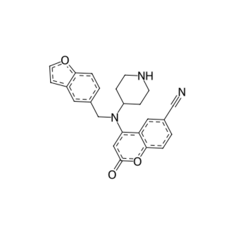 N#Cc1ccc2oc(=O)cc(N(Cc3ccc4occc4c3)C3CCNCC3)c2c1